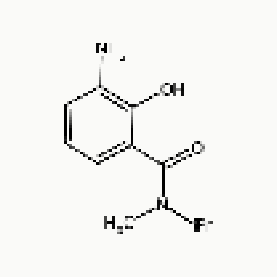 CC(C)N(C)C(=O)c1cccc(N)c1O